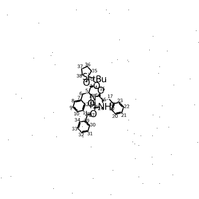 CC(C)(C)[Si]1(OC(=O)[C@H](Cc2ccccc2)NC(=O)[C@H](Cc2ccccc2)NC(=O)OCc2ccccc2)CCCC1